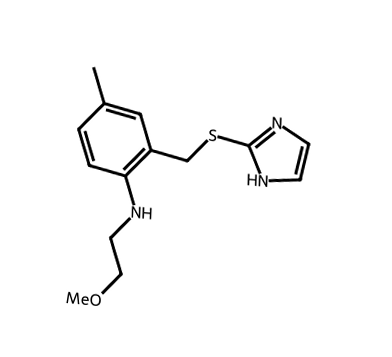 COCCNc1ccc(C)cc1CSc1ncc[nH]1